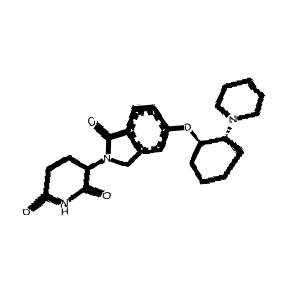 O=C1CCC(N2Cc3cc(O[C@@H]4CCCC[C@H]4N4CCCCC4)ccc3C2=O)C(=O)N1